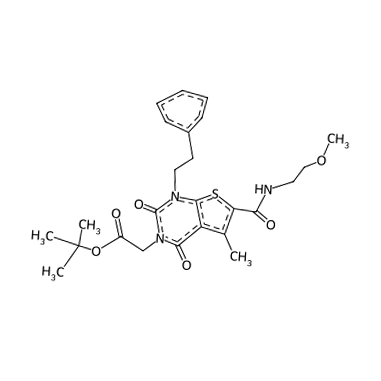 COCCNC(=O)c1sc2c(c1C)c(=O)n(CC(=O)OC(C)(C)C)c(=O)n2CCc1ccccc1